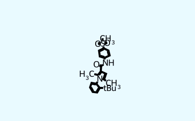 Cc1cc(C(=O)Nc2ccc(S(C)(=O)=O)cc2)c(C)n1-c1ccccc1C(C)(C)C